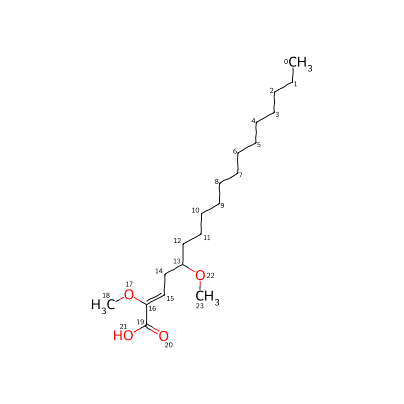 CCCCCCCCCCCCCC(CC=C(OC)C(=O)O)OC